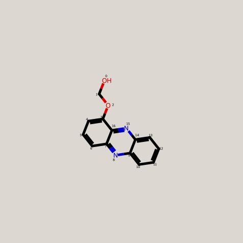 OCOc1cccc2nc3ccccc3nc12